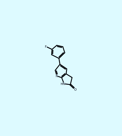 O=C1Cc2cc(-c3cccc(F)c3)cnc2N1